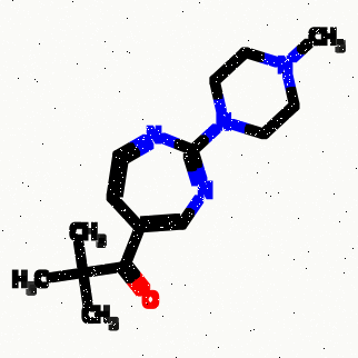 CN1CCN(C2=NC=C(C(=O)C(C)(C)C)C=C=N2)CC1